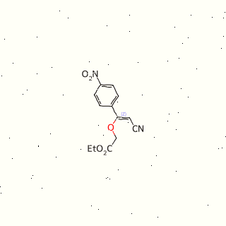 CCOC(=O)CO/C(=C\C#N)c1ccc([N+](=O)[O-])cc1